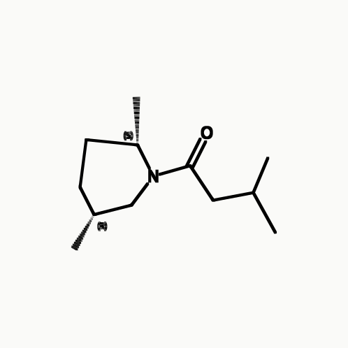 CC(C)CC(=O)N1C[C@H](C)CC[C@@H]1C